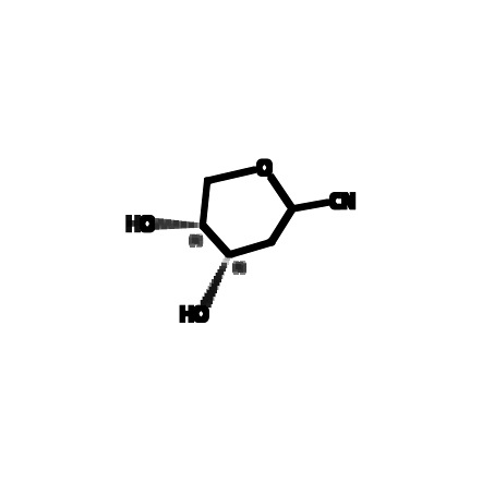 N#CC1C[C@H](O)[C@H](O)CO1